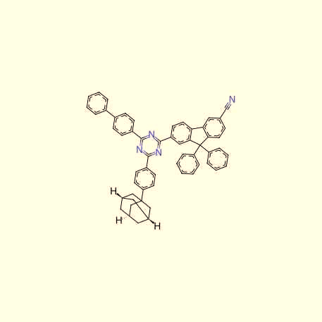 N#Cc1ccc2c(c1)-c1ccc(-c3nc(-c4ccc(-c5ccccc5)cc4)nc(-c4ccc(C56C[C@H]7C[C@@H](C5)C[C@@H](C6)C7)cc4)n3)cc1C2(c1ccccc1)c1ccccc1